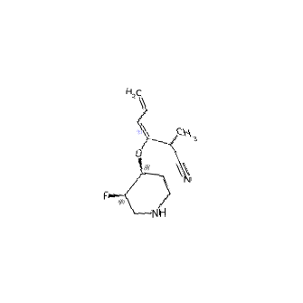 C=C/C=C(/O[C@H]1CCNC[C@H]1F)C(C)C#N